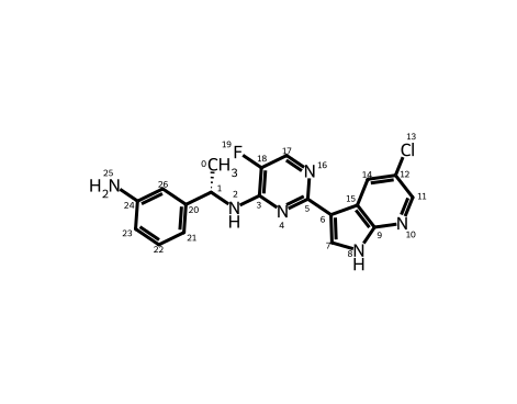 C[C@H](Nc1nc(-c2c[nH]c3ncc(Cl)cc23)ncc1F)c1cccc(N)c1